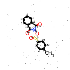 Cc1ccc(S(=O)ON2C(=O)c3ccccc3C2=O)cc1